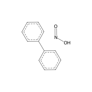 O=NO.c1ccc(-c2ccccc2)cc1